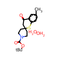 Cc1ccc2c(c1)C(=O)CC1(CCN(C(=O)OC(C)(C)C)CC1)S2.O.O